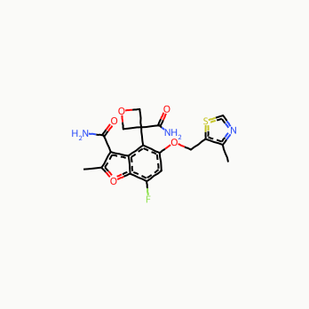 Cc1ncsc1COc1cc(F)c2oc(C)c(C(N)=O)c2c1C1(C(N)=O)COC1